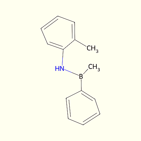 CB(Nc1ccccc1C)c1ccccc1